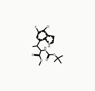 COC(=O)C(NC(=O)OC(C)(C)C)C(C)c1cc(F)c(Cl)c2cc[nH]c12